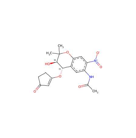 CC(=O)Nc1cc2c(cc1[N+](=O)[O-])OC(C)(C)[C@H](O)[C@H]2OC1=CC(=O)CC1